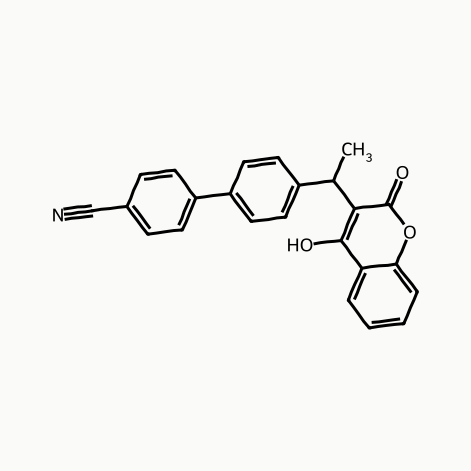 CC(c1ccc(-c2ccc(C#N)cc2)cc1)c1c(O)c2ccccc2oc1=O